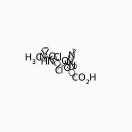 Cn1cc(C(=O)Nc2cc(Cl)c(CC(=O)C(OC3CCC(C(=O)O)CC3)(N3CCCC3)N3CCN(C4CC4)CC3)cc2Cl)c2ccccc21